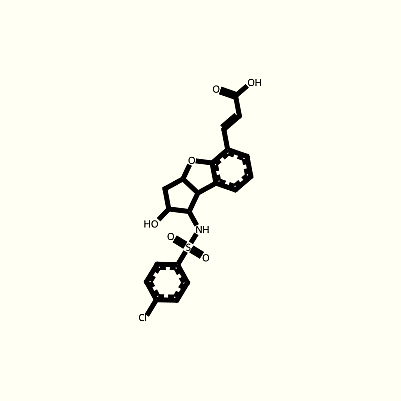 O=C(O)C=Cc1cccc2c1OC1CC(O)C(NS(=O)(=O)c3ccc(Cl)cc3)C21